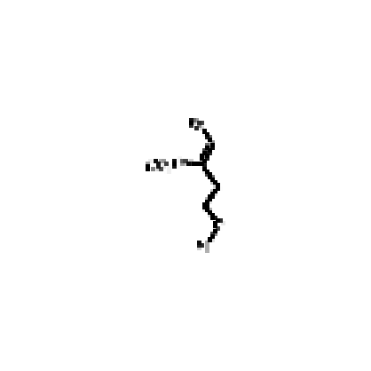 CC/C=C(/CCOCC)C(=O)O